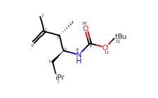 C=C(C)[C@H](C)[C@H](CC(C)C)NC(=O)OC(C)(C)C